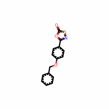 O=c1oc(-c2ccc(OCc3ccccc3)cc2)ns1